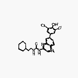 O=C(NCCC1CCCCC1)Nc1cnc2ccc(-c3cc(Cl)c(O)c(Cl)c3)cc2n1